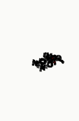 CCCO[C@@H]1C[C@]2(C)O[C@@]1(C)[C@H]1C(=O)N(c3ccc(C#N)c(C(F)(F)F)c3)C(=O)[C@H]12